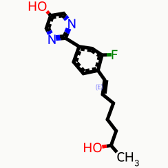 CC(O)CCC/C=C/c1ccc(-c2ncc(O)cn2)cc1F